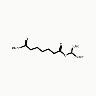 CCCCCCCCCCC(CCCCCCCCCC)OC(=O)CCCCCC(=O)CCCCCCCCC